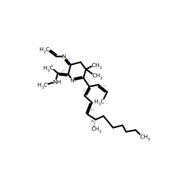 C=C/N=C1/CC(C)(C)C(C(/C=C\C)=C/C=C/[C@@H](C)CCCCCC)=N/C1=C(/C)NC